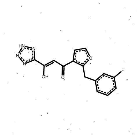 O=C(C=C(O)c1nn[nH]n1)c1ccoc1Cc1cccc(F)c1